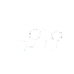 CC(C)(C)[Si](C)(C)OC1c2c(S(C)(=O)=O)ccc(C3=CCCc4cc(F)cc(C#N)c43)c2C[C@H]1F